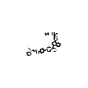 COC(=O)COc1ccc(C(=O)N2CCN(c3ccc(OCCCN(C)C4CCCC4)cc3)CC2)c2ccccc12